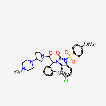 CCCN1CCN(C2CCN(C(=O)C(c3ccccc3OC)n3c(=O)n(S(=O)(=O)c4ccc(OC)cc4)c4ccc(Cl)cc43)C2)CC1